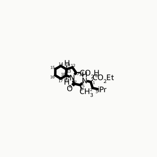 CCOC(=O)[C@H](CC(C)C)N[C@@H](C)C(=O)N1[C@H](C(=O)O)C[C@@H]2CCCC[C@@H]21